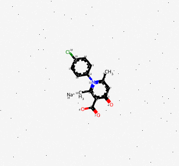 Cc1cc(=O)c(C(=O)[O-])c(C)n1-c1ccc(Cl)cc1.[Na+]